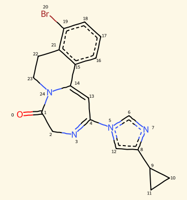 O=C1CN=C(n2cnc(C3CC3)c2)C=C2c3cccc(Br)c3CCN12